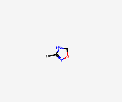 CCC1=NOCN1